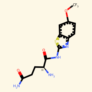 NC(=O)CC[C@H](N)C(=O)Nc1nc2ccc(OC(F)(F)F)cc2s1